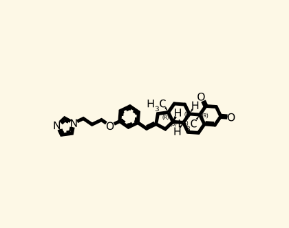 C[C@]12CC[C@@H]3[C@@H](CCC4=CC(=O)CC(=O)[C@@]43C)[C@@H]1CC(=Cc1cccc(OCCCn3ccnc3)c1)C2